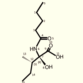 CCCCC(=O)N[C@](O)(C(=O)O)[C@@H](C)CC